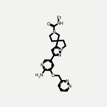 CCNC(=O)N1CCC2(CCn3nc(-c4cnc(N)c(OCc5cccnn5)c4)cc32)C1